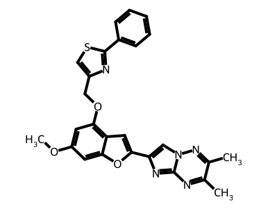 COc1cc(OCc2csc(-c3ccccc3)n2)c2cc(-c3cn4nc(C)c(C)nc4n3)oc2c1